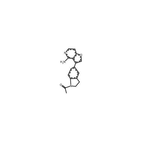 CC(=O)N1CCc2cc(-c3coc4ccnc(N)c34)ccc21